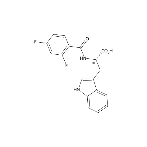 O=C(N[C@@H](Cc1c[nH]c2ccccc12)C(=O)O)c1ccc(F)cc1F